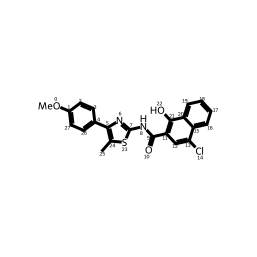 COc1ccc(-c2nc(NC(=O)c3cc(Cl)c4ccccc4c3O)sc2C)cc1